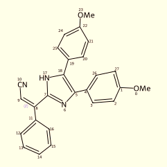 COc1ccc(-c2nc(/C(=C\C#N)c3ccccc3)[nH]c2-c2ccc(OC)cc2)cc1